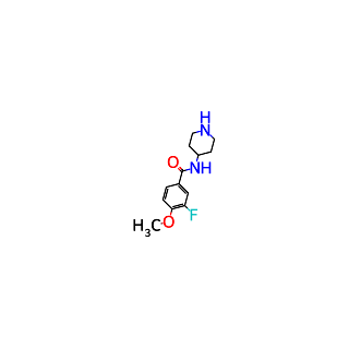 COc1ccc(C(=O)NC2CCNCC2)cc1F